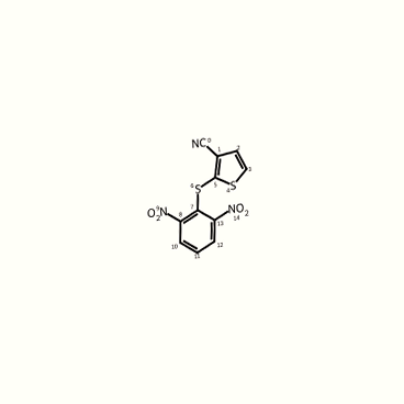 N#Cc1ccsc1Sc1c([N+](=O)[O-])cccc1[N+](=O)[O-]